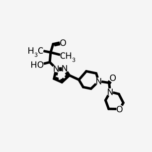 CC(C)(C=O)C(O)n1ccc(C2CCN(C(=O)N3CCOCC3)CC2)n1